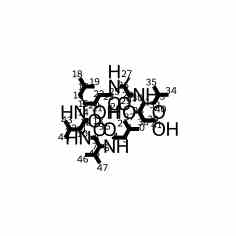 CC(C)CC(=O)NC(C(=O)NC(C(=O)N[C@@H](CC(C)C)[C@@H](O)CC(=O)N[C@@H](C)C(=O)N[C@@H](CC(C)C)[C@@H](O)CC(=O)O)C(C)C)C(C)C